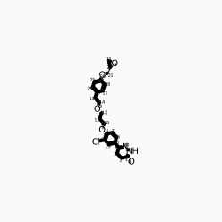 O=C1CCC(c2ccc(OCCCOCCc3ccc(OC[C@@H]4CO4)cc3)c(Cl)c2)=NN1